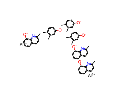 Cc1ccc([O-])cc1C.Cc1ccc([O-])cc1C.Cc1ccc([O-])cc1C.Cc1ccc2cccc([O-])c2n1.Cc1ccc2cccc([O-])c2n1.Cc1ccc2cccc([O-])c2n1.[Al+3].[Al+3]